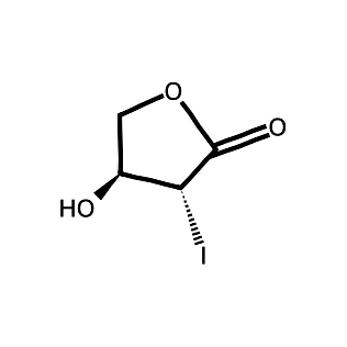 O=C1OC[C@H](O)[C@H]1I